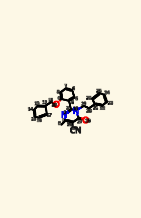 Cc1nc(-c2ccccc2OCc2ccccc2)n(CCc2ccccc2)c(=O)c1C#N